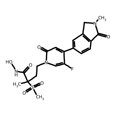 CN1Cc2cc(-c3cc(=O)n(CCC(C)(C(=O)NO)S(C)(=O)=O)cc3F)ccc2C1=O